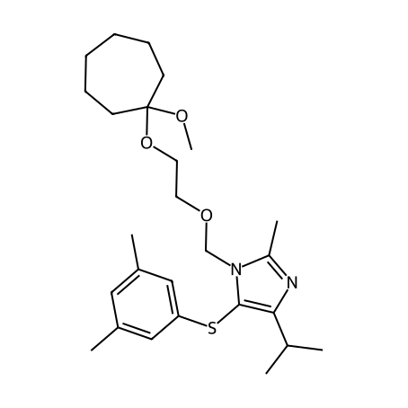 COC1(OCCOCn2c(C)nc(C(C)C)c2Sc2cc(C)cc(C)c2)CCCCCC1